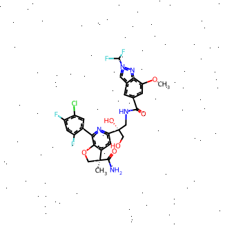 COc1cc(C(=O)NC[C@@](O)(CO)c2cc3c(c(-c4cc(Cl)c(F)cc4F)n2)OC[C@]3(C)C(N)=O)cc2cn(C(F)F)nc12